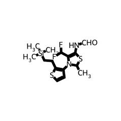 CC1SC(NC=O)=C(C(F)F)N1c1ccsc1CC[Si](C)(C)C